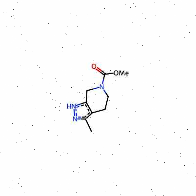 COC(=O)N1CCc2c(C)n[nH]c2C1